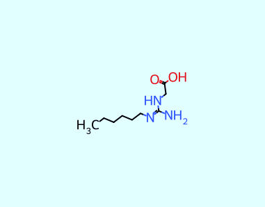 CCCCCCN=C(N)NCC(=O)O